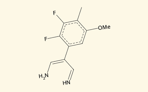 COc1cc(/C(C=N)=C/N)c(F)c(F)c1C